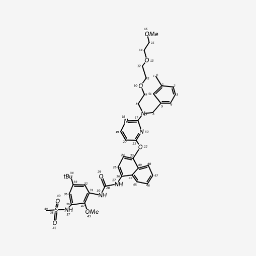 [CH]c1cccc(CN(CCOCCOCCOC)c2nccc(Oc3ccc(NC(=O)Nc4cc(C(C)(C)C)cc(NS(C)(=O)=O)c4OC)c4ccccc34)n2)c1